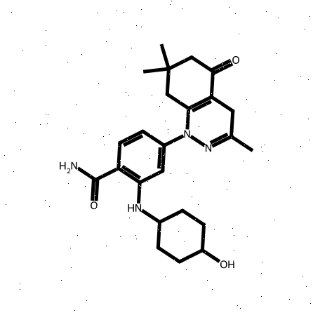 CC1=NN(c2ccc(C(N)=O)c(NC3CCC(O)CC3)c2)C2=C(C1)C(=O)CC(C)(C)C2